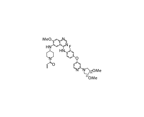 C=CC(=O)N1CCC(Nc2cc3c(Nc4ccc(Oc5ccnc(N6C[C@@H](OC)[C@H](OC)C6)c5)cc4F)ncnc3cc2OC)CC1